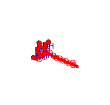 CCCCOC(=O)CCOCCOCCOCCOCCOCCOCCNC(=O)COc1cc(C(=O)N2C[C@@H](C(=O)N[C@H]3C[C@@H]3c3ccccc3)[C@H](C(=O)N[C@H]3C[C@@H]3c3ccccc3)C2)ccc1C(=O)N1C[C@@H](C(=O)N[C@H]2C[C@@H]2c2ccccc2)[C@H](C(=O)N[C@H]2C[C@@H]2c2ccccc2)C1